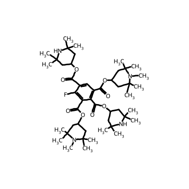 CN1C(C)(C)CC(OC(=O)c2cc(C(=O)OC3CC(C)(C)NC(C)(C)C3)c(F)c(C(=O)OC3CC(C)(C)N(C)C(C)(C)C3)c2C(=O)OC2CC(C)(C)NC(C)(C)C2)CC1(C)C